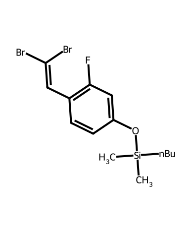 CCCC[Si](C)(C)Oc1ccc(C=C(Br)Br)c(F)c1